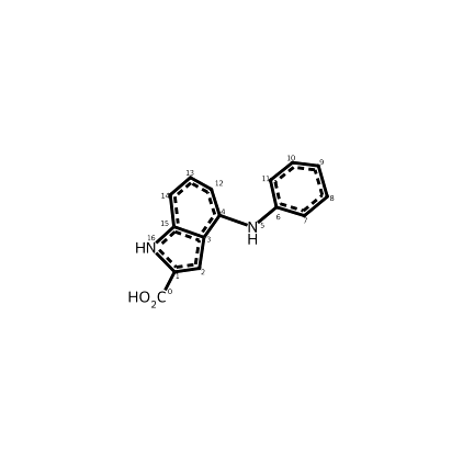 O=C(O)c1cc2c(Nc3ccccc3)cccc2[nH]1